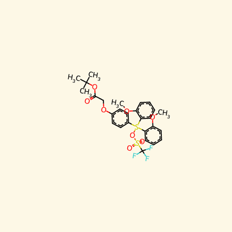 COc1ccccc1S(OS(=O)(=O)C(F)(F)F)(c1ccc(OCC(=O)OC(C)(C)C)cc1)c1ccccc1OC